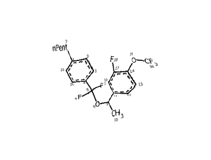 CCCCCc1ccc(C(F)(F)OC(C)c2ccc(OC(F)(F)F)c(F)c2)cc1